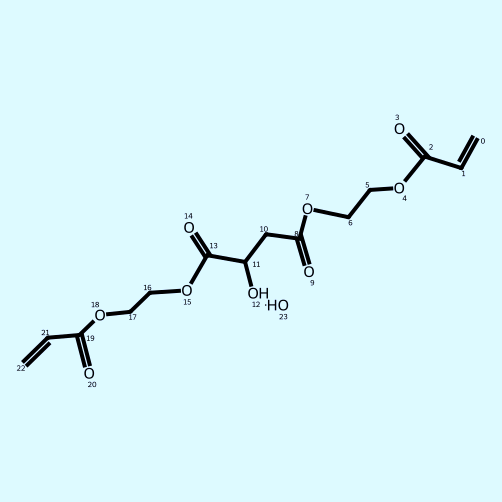 C=CC(=O)OCCOC(=O)CC(O)C(=O)OCCOC(=O)C=C.[OH]